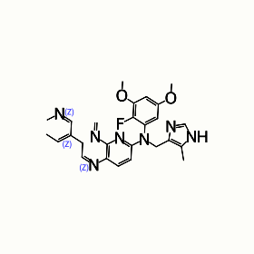 C=Nc1nc(N(Cc2nc[nH]c2C)c2cc(OC)cc(OC)c2F)ccc1/N=C\CC(/C=N\C)=C/C